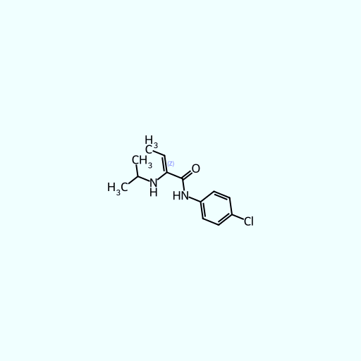 C/C=C(\NC(C)C)C(=O)Nc1ccc(Cl)cc1